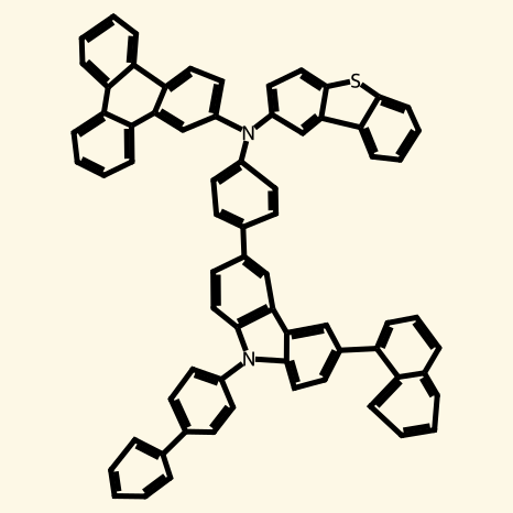 c1ccc(-c2ccc(-n3c4ccc(-c5ccc(N(c6ccc7sc8ccccc8c7c6)c6ccc7c8ccccc8c8ccccc8c7c6)cc5)cc4c4cc(-c5cccc6ccccc56)ccc43)cc2)cc1